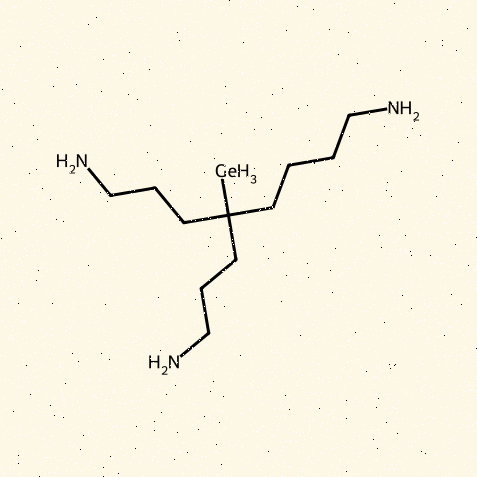 NCCCC[C]([GeH3])(CCCN)CCCN